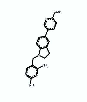 COc1ccc(-c2ccc3c(c2)CCN3Cc2cnc(N)nc2N)cn1